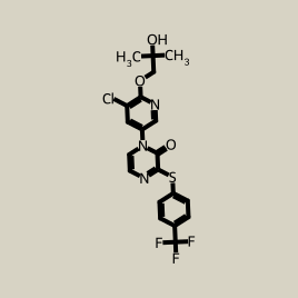 CC(C)(O)COc1ncc(-n2ccnc(Sc3ccc(C(F)(F)F)cc3)c2=O)cc1Cl